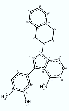 Cc1ccc(-c2nn(C3CCc4ccccc4C3)c3ncnc(N)c23)cc1O